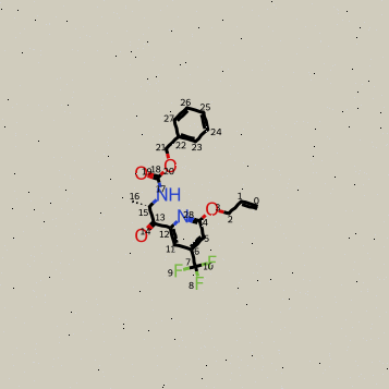 C=CCOc1cc(C(F)(F)F)cc(C(=O)[C@H](C)NC(=O)OCc2ccccc2)n1